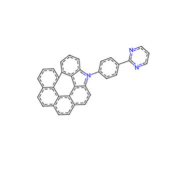 c1cnc(-c2ccc(-n3c4cccc5c4c4c6c(ccc7ccc8cccc-5c8c76)ccc43)cc2)nc1